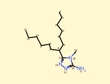 CCCCCCC(CCCCCC)c1nnc(N)n1C